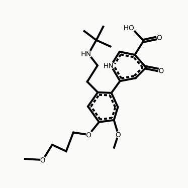 COCCCOc1cc(CCNC(C)(C)C)c(-c2cc(=O)c(C(=O)O)c[nH]2)cc1OC